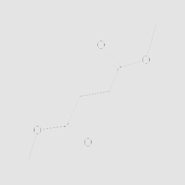 [CH2]OC(=O)CCC(=O)OC